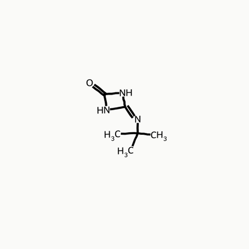 CC(C)(C)N=C1NC(=O)N1